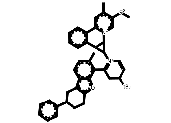 C[SiH2]c1c[n+]2c(cc1C)-c1ccccc1C1C([N+]3=C(c4c(C)ccc5c6c(oc45)CCC(c4ccccc4)C6)CC(C(C)(C)C)C=C3)C12